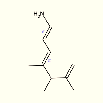 C=C(C)C(C)/C(C)=C/C=C/N